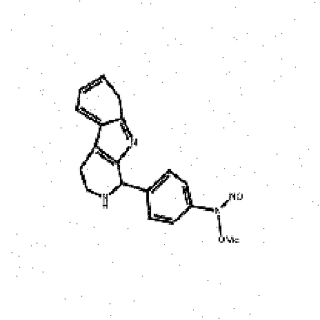 CON(N=O)c1ccc(C2NCCC3=C2N=C2CC=CC=C23)cc1